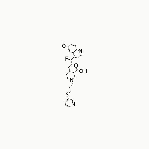 COc1ccc2nccc([C@H](F)CC[C@@H]3CCN(CCCSc4cccnc4)C[C@@H]3C(=O)O)c2c1